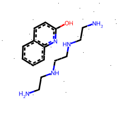 NCCNCCNCCN.Oc1ccc2ccccc2n1